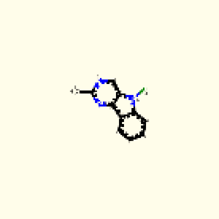 Cc1ncc2c(n1)c1ccccc1n2Cl